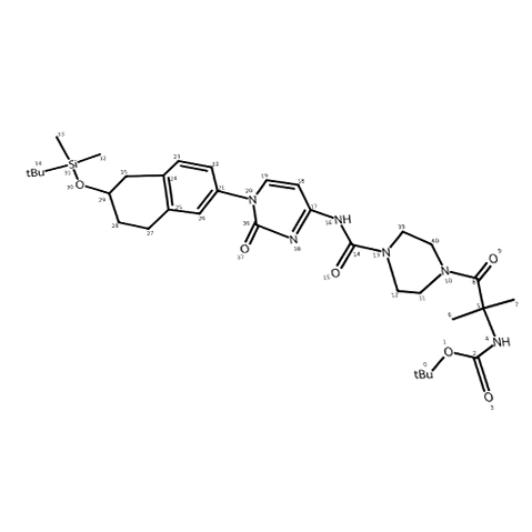 CC(C)(C)OC(=O)NC(C)(C)C(=O)N1CCN(C(=O)Nc2ccn(-c3ccc4c(c3)CCC(O[Si](C)(C)C(C)(C)C)C4)c(=O)n2)CC1